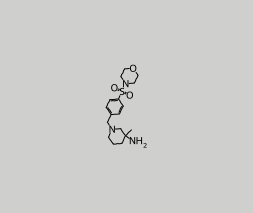 CC1(N)CCCN(Cc2ccc(S(=O)(=O)N3CCOCC3)cc2)C1